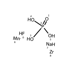 F.O=P(O)(O)O.[Mn].[NaH].[Zr]